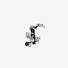 COCCCOc1cc(C[C@@H](C[C@H](N)[C@@H](O)CNC2=C(NCCc3ccccc3Cl)CC2)C(C)C)ccc1OC